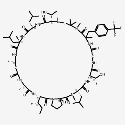 CC[C@H](C)[C@@H]1NC(=O)[C@H](C)NC(=O)C[C@H](C)NC(=O)[C@](C)(CC(C)C)NC(=O)[C@H](CC(C)C)NC(=O)[C@H](C(C)O)NCC(C)(C)N(C)C(=O)C(C)(Cc2ccc(C(F)(F)F)cc2)NC(=O)CNC(=O)[C@H]([C@@H](C)O)NC(=O)[C@H](CC(C)C)N(C)C(=O)[C@@H]2CCCN2C1=O